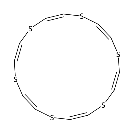 C1=CSC=CSC=CSC=CSC=CSC=CS1